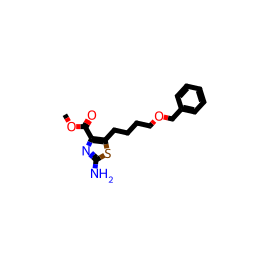 COC(=O)c1nc(N)sc1CCCCOCc1ccccc1